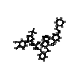 CC(C)(C)c1cc(NC(=O)NCc2ccccc2Sc2ccc3nnc(-c4cc(OCc5ccccc5)ccc4Cl)n3c2)n(-c2ccc(F)c(F)c2)n1